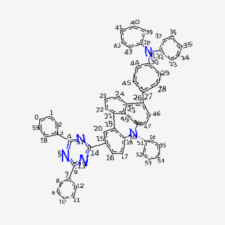 c1ccc(-c2nc(-c3ccccc3)nc(-c3ccc4c(c3)-c3cccc5c(-c6ccc(N(c7ccccc7)c7ccccc7)cc6)ccc(c35)N4c3ccccc3)n2)cc1